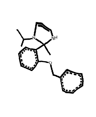 CC(C)N1C=CNC1(C)c1ccccc1OCc1ccccc1